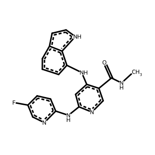 CNC(=O)c1cnc(Nc2ccc(F)cn2)cc1Nc1cccc2cc[nH]c12